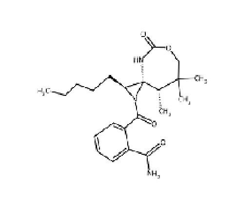 CCCCC[C@@H]1N(C(=O)c2ccccc2C(N)=O)[C@@]12NC(=O)OCC(C)(C)[C@@H]2C